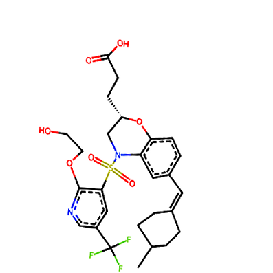 CC1CCC(=Cc2ccc3c(c2)N(S(=O)(=O)c2cc(C(F)(F)F)cnc2OCCO)C[C@H](CCC(=O)O)O3)CC1